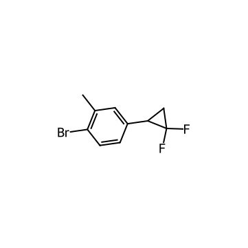 Cc1cc(C2CC2(F)F)ccc1Br